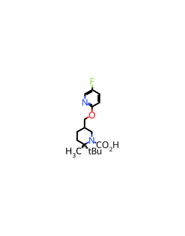 CC(C)(C)[C@@]1(C)CCC(COc2ccc(F)cn2)CN1C(=O)O